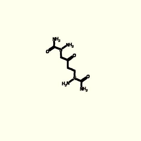 NC(=O)N(N)CCC(=O)CN(N)C(N)=O